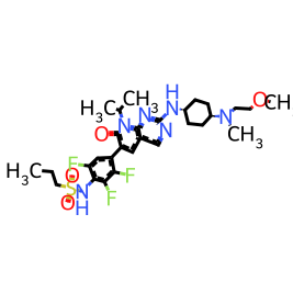 CCCS(=O)(=O)Nc1c(F)cc(-c2cc3cnc(N[C@H]4CC[C@H](N(C)CCOC)CC4)nc3n(C(C)C)c2=O)c(F)c1F